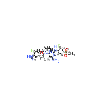 CC(C)(C)N1C(=O)C(Cc2ccc(F)c3[nH]ncc23)CCc2c(N)nc(Nc3ccc(S(C)(=O)=O)cc3F)nc21